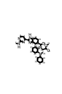 CNc1nccc(-c2nc3cc(C(=O)N[C@@H](CN(c4ccccc4)c4ccccc4)C(=O)OC)ccc3[nH]2)n1